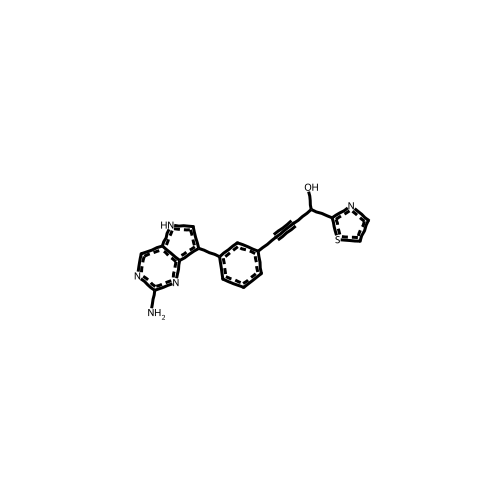 Nc1ncc2[nH]cc(-c3cccc(C#CC(O)c4nccs4)c3)c2n1